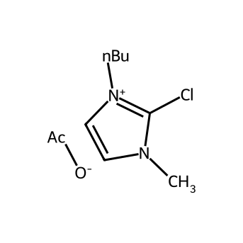 CC(=O)[O-].CCCC[n+]1ccn(C)c1Cl